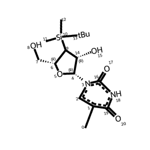 Cc1cn([C@@H]2O[C@H](CO)C([Si](C)(C)C(C)(C)C)[C@@H]2O)c(=O)[nH]c1=O